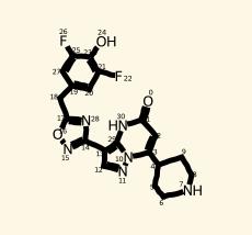 O=c1cc(C2CCNCC2)n2ncc(-c3noc(Cc4cc(F)c(O)c(F)c4)n3)c2[nH]1